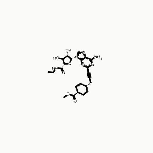 CCNC(=O)[C@H]1O[C@@H](n2cnc3c(N)nc(C#CC[C@H]4CC[C@H](C(=O)OC)CC4)nc32)[C@@H](O)C1O